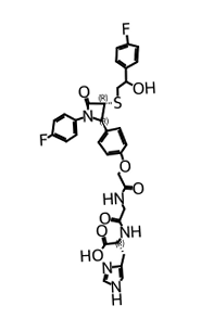 O=C(COc1ccc([C@@H]2[C@@H](SCC(O)c3ccc(F)cc3)C(=O)N2c2ccc(F)cc2)cc1)NCC(=O)N[C@H](Cc1c[nH]cn1)C(=O)O